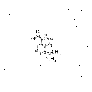 CN(C)c1cccc2c1CC=CC2=S(=O)=O